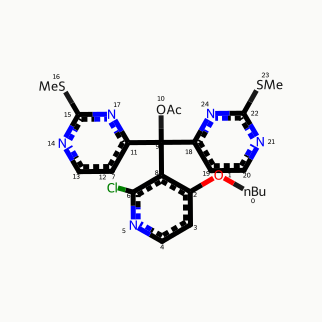 CCCCOc1ccnc(Cl)c1C(OC(C)=O)(c1ccnc(SC)n1)c1ccnc(SC)n1